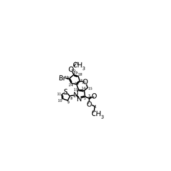 CCOC(=O)c1nn(C2CC=CS2)c2c1COc1cc(OC)c(Br)cc1-2